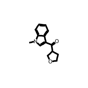 Cn1cc(C(=O)C2CCOC2)c2ccccc21